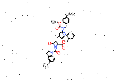 COc1ccc(CN(C(=O)OC(C)(C)C)c2cc(C[C@H]3C(=O)N(C(=O)N4CCc5cc(C(F)(F)F)ccc54)[C@@H]3C(=O)OCc3ccccc3)ccn2)cc1